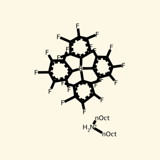 CCCCCCCC[NH2+]CCCCCCCC.Fc1c(F)c(F)c([B-](c2c(F)c(F)c(F)c(F)c2F)(c2c(F)c(F)c(F)c(F)c2F)c2c(F)c(F)c(F)c(F)c2F)c(F)c1F